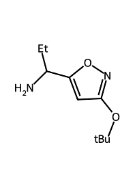 CCC(N)c1cc(OC(C)(C)C)no1